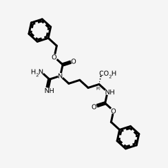 N=C(N)N(CCC[C@@H](NC(=O)OCc1ccccc1)C(=O)O)C(=O)OCc1ccccc1